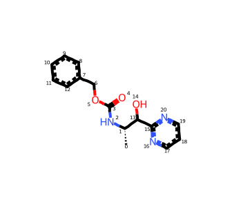 C[C@H](NC(=O)OCc1ccccc1)C(O)c1ncccn1